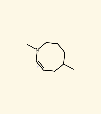 CC1C/C=C\N(C)CCC1